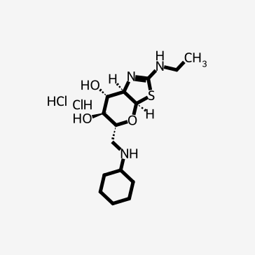 CCNC1=N[C@@H]2[C@@H](O)[C@H](O)[C@@H](CNC3CCCCC3)O[C@@H]2S1.Cl.Cl